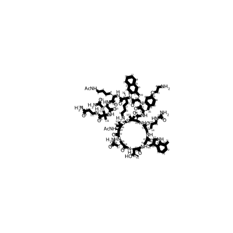 CC(=O)NCCCC[C@H](NC(=O)[C@](C)(CCCCN)NC(=O)[C@H](Cc1ccc2ccccc2c1)NC(=O)[C@H](Cc1ccc(OCCN)cc1)NC(=O)[C@H]1NC(=O)[C@H](CCCNC(N)=O)NC(=O)[C@H](Cc2c[nH]c3c(C)cccc23)NC(=O)[C@H]([C@@H](C)O)NC(=O)[C@H](CC(N)=O)NC(=O)[C@@H](NC(C)=O)C(C)(C)SSC1(C)C)C(=O)N[C@@H](CC(N)=O)C(=O)NC(C)(C)C(=O)NCCC(N)=O